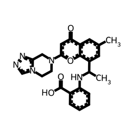 Cc1cc(C(C)Nc2ccccc2C(=O)O)c2oc(N3CCn4cnnc4C3)cc(=O)c2c1